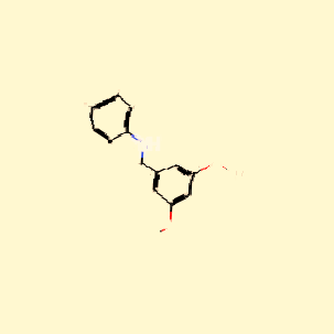 COc1cc(CNc2cc[c]cc2)cc(OC)c1